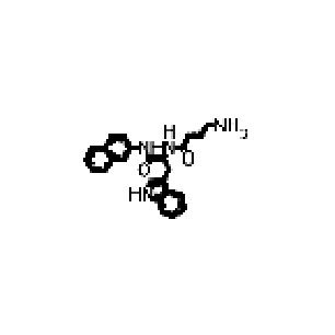 NCCCC(=O)NC(Cc1c[nH]c2ccccc12)C(=O)Nc1ccc2ccccc2c1